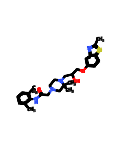 Cc1nc2cc(OCC(O)CN3CCN(CC(=O)Nc4c(C)cccc4C)CC3(C)C)ccc2s1